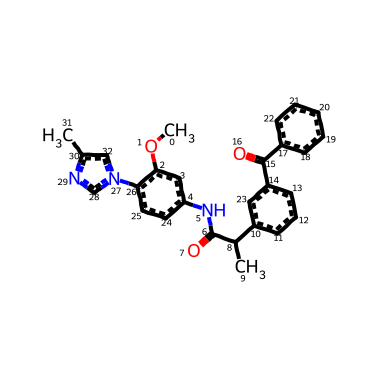 COc1cc(NC(=O)C(C)c2cccc(C(=O)c3ccccc3)c2)ccc1-n1cnc(C)c1